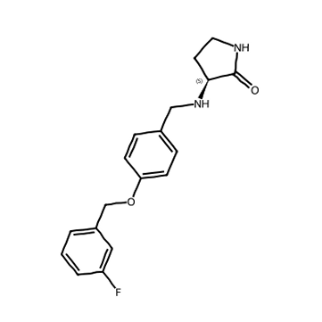 O=C1NCC[C@@H]1NCc1ccc(OCc2cccc(F)c2)cc1